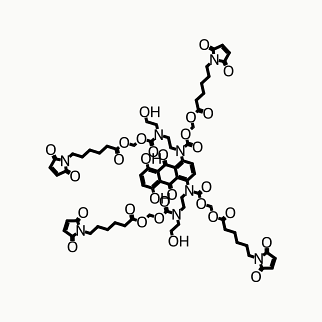 O=C(CCCCCN1C(=O)C=CC1=O)OCOC(=O)N(CCO)CCN(C(=O)OCOC(=O)CCCCCN1C(=O)C=CC1=O)c1ccc(N(CCN(CCO)C(=O)OCOC(=O)CCCCCN2C(=O)C=CC2=O)C(=O)OCOC(=O)CCCCCN2C(=O)C=CC2=O)c2c1C(=O)c1c(O)ccc(O)c1C2=O